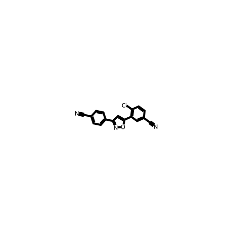 N#Cc1ccc(-c2cc(-c3cc(C#N)ccc3Cl)on2)cc1